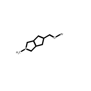 CC(C)OCC1CC2CN(C)CC2C1